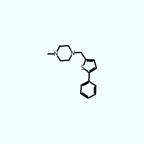 CN1CCN(Cc2ccc(-c3ccccc3)s2)CC1